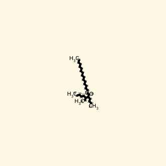 CCCCCCCCCCCCCCCCOC(=O)C(CCCC)C(CC)CCCCC